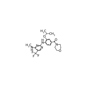 CNc1nc(Nc2ccc(C(=O)N3CCOCC3)cc2OC(C)C)ncc1C(F)(F)F